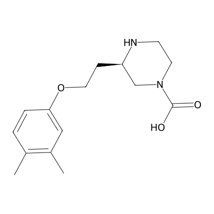 Cc1ccc(OCC[C@@H]2CN(C(=O)O)CCN2)cc1C